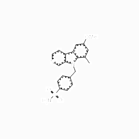 COc1cc(C)c2c(c1)c1ccncc1n2Cc1ccc(S(N)(=O)=O)cc1